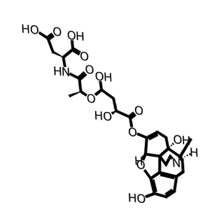 C[C@H](OC(O)C[C@H](O)C(=O)OC1=CC[C@@]2(O)[C@H]3Cc4ccc(O)c5c4C2(CCN3C)[C@H]1O5)C(=O)N[C@@H](CC(=O)O)C(=O)O